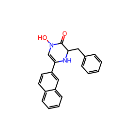 O=C1C(Cc2ccccc2)NC(c2ccc3ccccc3c2)=CN1O